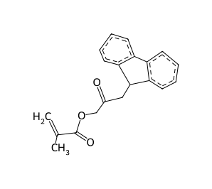 C=C(C)C(=O)OCC(=O)CC1c2ccccc2-c2ccccc21